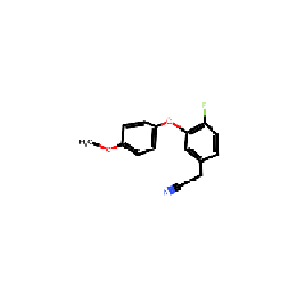 COc1ccc(Oc2cc(CC#N)ccc2F)cc1